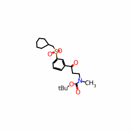 CN(CCC(=O)c1cccc(S(=O)(=O)CC2CCCCC2)c1)C(=O)OC(C)(C)C